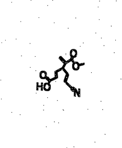 C=C(C(=O)OC)C(C=CC#N)C=CC(=O)O